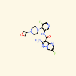 Nc1nn2cc(F)cnc2c1C(=O)Nc1cncc(F)c1N1CCN(C2COC2)CC1